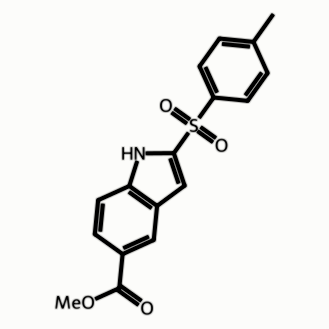 COC(=O)c1ccc2[nH]c(S(=O)(=O)c3ccc(C)cc3)cc2c1